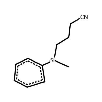 C[Si](CCCC#N)c1ccccc1